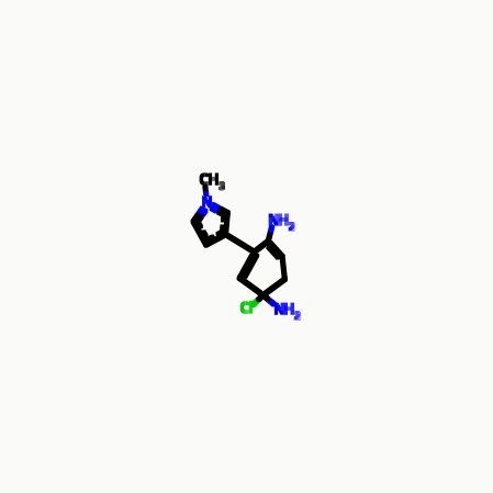 Cn1ccc(C2=CC(N)(Cl)CC=C2N)c1